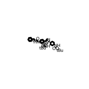 CC(C)(C)NS(=O)(=O)c1cc(NC(=O)NCc2ccccc2)ccc1-c1cnc([C@H]2CC[C@H](NC(=O)OC(C)(C)C)CC2)s1